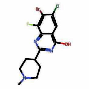 CN1CCC(c2nc(O)c3cc(Cl)c(Br)c(F)c3n2)CC1